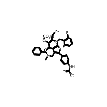 CCOC(=O)Oc1c(CC(C)C)n(Cc2c(F)cccc2F)c2sc(-c3ccc(NC(=O)CC)cc3)c(CN(C)Cc3ccccc3)c2c1=O